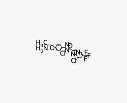 CC(N)COc1ccc(-c2noc(-c3cn4cc(C(F)(F)F)cc(Cl)c4n3)n2)c(Cl)c1